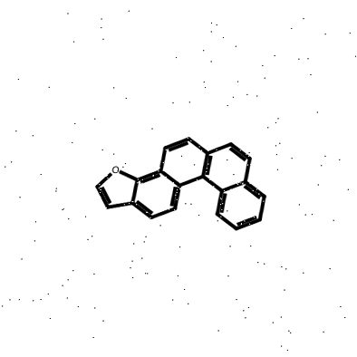 c1ccc2c(c1)ccc1ccc3c(ccc4ccoc43)c12